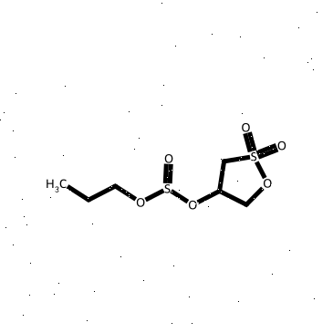 CCCOS(=O)OC1COS(=O)(=O)C1